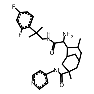 CC1CC2CC(CC(C)(C(=O)Nc3ccncc3)C2)C1C(N)C(=O)NCC(C)(C)c1ccc(F)cc1F